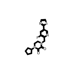 O=C1C(=O)N(C2CCCC2)CCN1Cc1ncc(-c2nccs2)cc1F